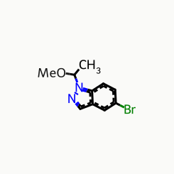 COC(C)n1ncc2cc(Br)ccc21